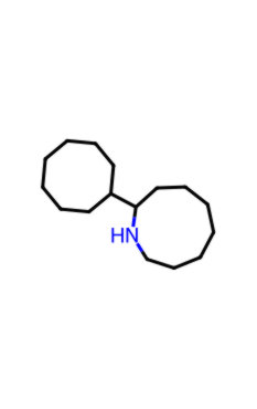 C1CCCC(C2CCCCCCCN2)CCC1